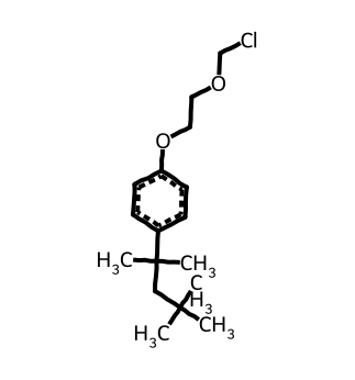 CC(C)(C)CC(C)(C)c1ccc(OCCOCCl)cc1